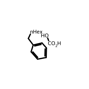 CCCCCCCc1ccccc1.O=C(O)O